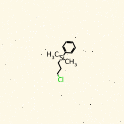 C[Si](C)(CCCCl)c1ccccc1